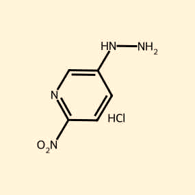 Cl.NNc1ccc([N+](=O)[O-])nc1